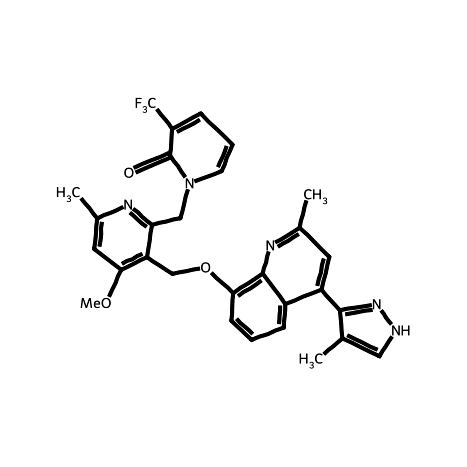 COc1cc(C)nc(Cn2cccc(C(F)(F)F)c2=O)c1COc1cccc2c(-c3n[nH]cc3C)cc(C)nc12